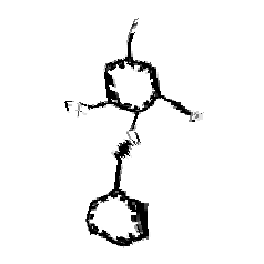 Fc1cc(Br)c(OCc2ccccc2)c(C(F)(F)F)c1